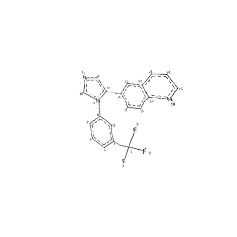 FC(F)(F)c1cccc(-n2cncc2-c2ccc3ncccc3c2)c1